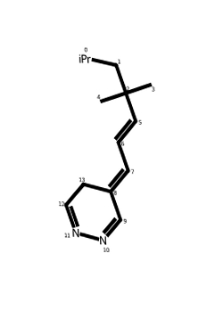 CC(C)CC(C)(C)/C=C/C=C1/C=NN=CC1